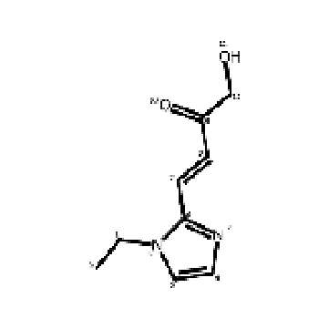 CCn1ccnc1/C=C/C(=O)CO